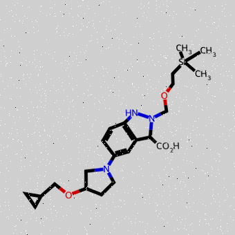 C[Si](C)(C)CCOCN1Nc2ccc(N3CCC(OCC4CC4)C3)cc2C1C(=O)O